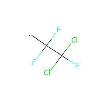 [CH2]C(F)(F)C(F)(Cl)Cl